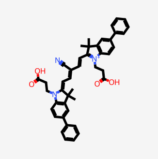 CC1(C)C(/C=C/C(C#N)=C/C=C2/N(CCC(=O)O)c3ccc(-c4ccccc4)cc3C2(C)C)=[N+](CCC(=O)O)c2ccc(-c3ccccc3)cc21